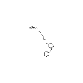 CCCCCCCCCCCCCCCCCCc1ccc[n+](Cc2ccccc2)c1